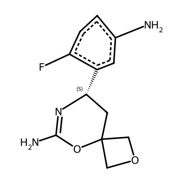 NC1=N[C@H](c2cc(N)ccc2F)CC2(COC2)O1